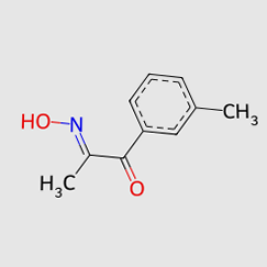 CC(=NO)C(=O)c1cccc(C)c1